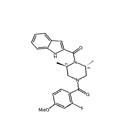 COc1ccc(C(=O)N2C[C@@H](C)N(C(=O)c3cc4ccccc4[nH]3)[C@H](C)C2)c(F)c1